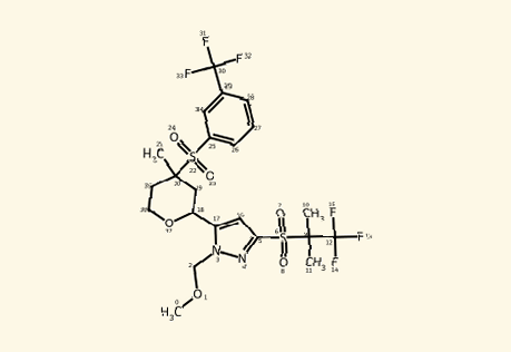 COCn1nc(S(=O)(=O)C(C)(C)C(F)(F)F)cc1C1CC(C)(S(=O)(=O)c2cccc(C(F)(F)F)c2)CCO1